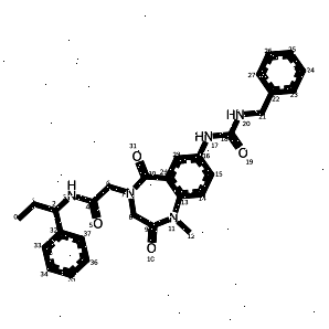 CCC(NC(=O)CN1CC(=O)N(C)c2ccc(NC(=O)NCc3ccccc3)cc2C1=O)c1ccccc1